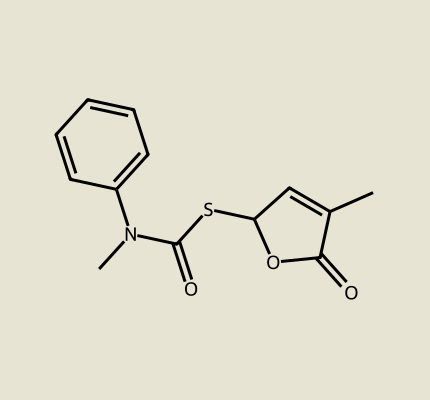 CC1=CC(SC(=O)N(C)c2ccccc2)OC1=O